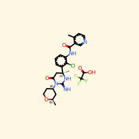 Cc1ccncc1C(=O)Nc1cccc([C@]2(C)CC(=O)N([C@@H]3CCO[C@H](C)C3)C(=N)N2)c1Cl.O=C(O)C(F)(F)F